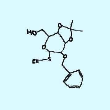 CCSC1OC(CO)C2OC(C)(C)OC2C1OCc1ccccc1